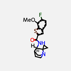 COc1c(F)ccc2cc(C(=O)N[C@H]3C4CCN(CC4)C34CC4)sc12